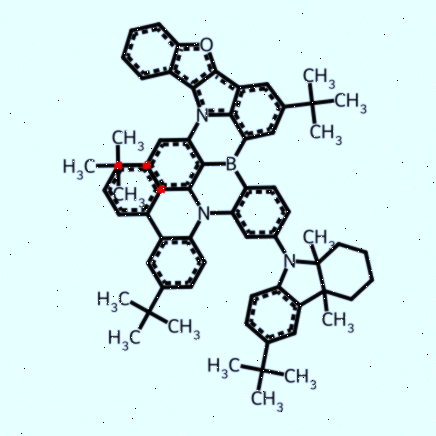 CC(C)(C)c1ccc(N2c3cc(N4c5ccc(C(C)(C)C)cc5C5(C)CCCCC45C)ccc3B3c4c2cc(C(C)(C)C)cc4-n2c4c3cc(C(C)(C)C)cc4c3oc4ccccc4c32)c(-c2ccccc2)c1